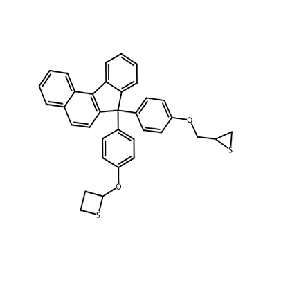 c1ccc2c(c1)-c1c(ccc3ccccc13)C2(c1ccc(OCC2CS2)cc1)c1ccc(OC2CCS2)cc1